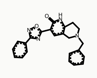 O=c1[nH]c2c(cc1-c1nc(-c3ccccc3)no1)CN(Cc1ccccc1)CC2